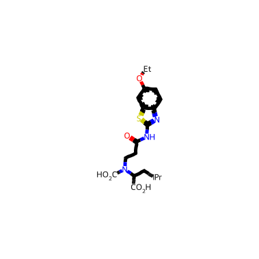 CCOc1ccc2nc(NC(=O)CCN(C(=O)O)C(CC(C)C)C(=O)O)sc2c1